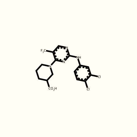 O=C(O)C1CCCN(c2nc(Nc3ccc(Cl)c(Cl)c3)ncc2C(F)(F)F)C1